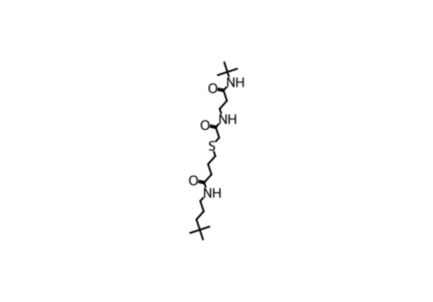 CC(C)(C)CCCNC(=O)CCCSCC(=O)NCCC(=O)NC(C)(C)C